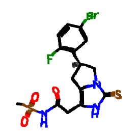 CS(=O)(=O)NC(=O)Cc1[nH]c(=S)n2c1C[C@@H](c1cc(Br)ccc1F)C2